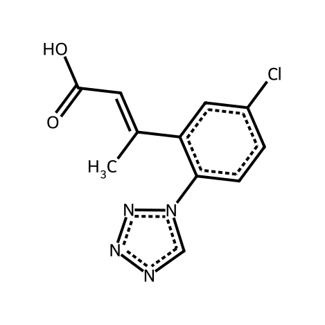 C/C(=C\C(=O)O)c1cc(Cl)ccc1-n1cnnn1